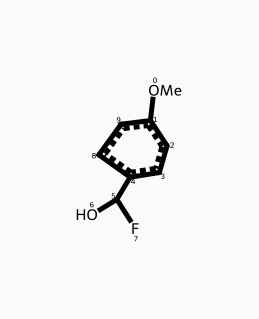 COc1ccc(C(O)F)cc1